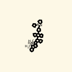 CC1(C)c2ccccc2-c2ccc3c(c21)C(C)(C)c1cc(-c2c4ccccc4c(-c4ccc(C5=NC6C=CC=CC6N5c5ccccc5)cc4)c4ccccc24)c2ccccc2c1-3